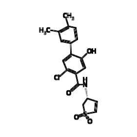 Cc1ccc(-c2cc(Cl)c(C(=O)N[C@@H]3C=CS(=O)(=O)C3)cc2O)cc1C